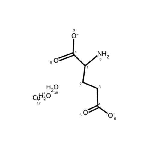 NC(CCC(=O)[O-])C(=O)[O-].O.O.[Cu+2]